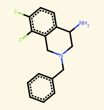 NC1CN(Cc2ccccc2)Cc2c1ccc(F)c2F